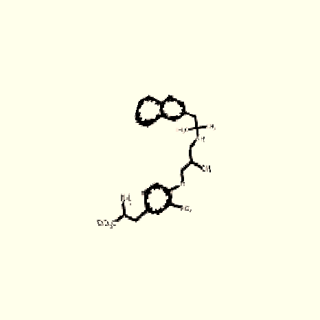 CCOC(=O)C(N)Cc1ccc(OCC(O)CNC(C)(C)Cc2ccc3ccccc3c2)c([N+](=O)[O-])c1